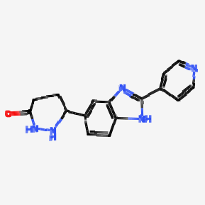 O=C1CCC(c2ccc3[nH]c(-c4ccncc4)nc3c2)NN1